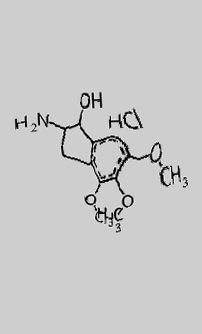 COc1cc2c(c(OC)c1OC)CC(N)C2O.Cl